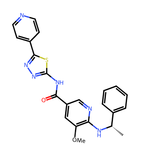 COc1cc(C(=O)Nc2nnc(-c3ccncc3)s2)cnc1N[C@@H](C)c1ccccc1